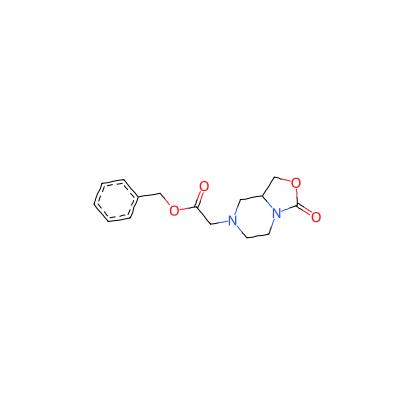 O=C(CN1CCN2C(=O)OCC2C1)OCc1ccccc1